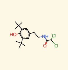 CC(C)(C)c1cc(CCNC(=O)C(Cl)Cl)cc(C(C)(C)C)c1O